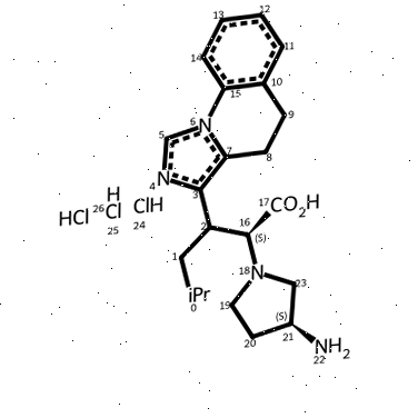 CC(C)CC(c1ncn2c1CCc1ccccc1-2)[C@@H](C(=O)O)N1CC[C@H](N)C1.Cl.Cl.Cl